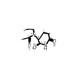 CCN(C(C)=O)C1CCC(=O)NC1=O